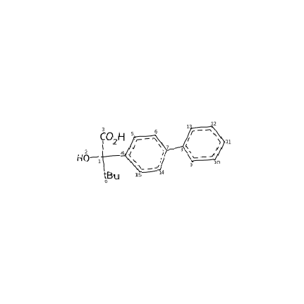 CC(C)(C)C(O)(C(=O)O)c1ccc(-c2ccccc2)cc1